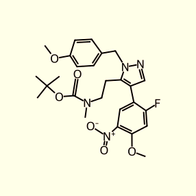 COc1ccc(Cn2ncc(-c3cc([N+](=O)[O-])c(OC)cc3F)c2CCN(C)C(=O)OC(C)(C)C)cc1